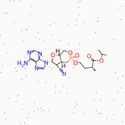 CC(C)OC(=O)[C@@H](C)CCOP1(=O)C[C@@H]2[C@@H](CO1)O[C@@H](n1cnc3c(N)ncnc31)[C@]2(C)C#N